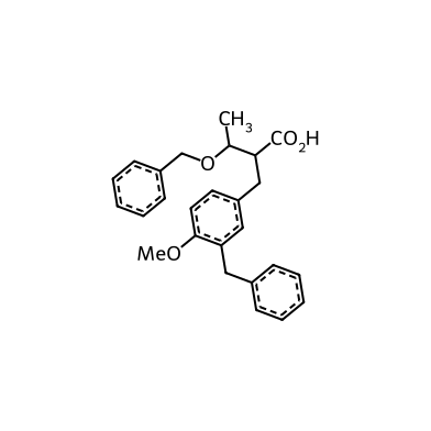 COc1ccc(CC(C(=O)O)C(C)OCc2ccccc2)cc1Cc1ccccc1